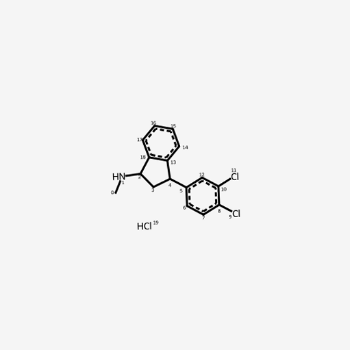 CNC1CC(c2ccc(Cl)c(Cl)c2)c2ccccc21.Cl